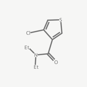 CCN(CC)C(=O)c1cscc1Cl